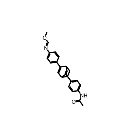 COC=Nc1ccc(C2=CC3CCC2C=C3c2ccc(NC(C)=O)cc2)cc1